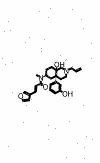 C=CCN1CC[C@@]2(c3cccc(O)c3)C[C@@H](N(C)C(=O)/C=C/c3ccoc3)CC[C@]2(O)C1